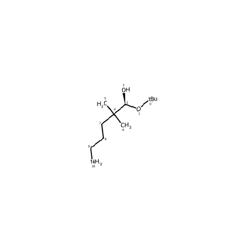 CC(C)(C)O[C@H](O)C(C)(C)CCCN